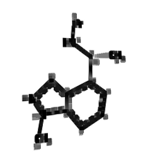 CC(C)N[C@H](C)c1cccc2c1cnn2C